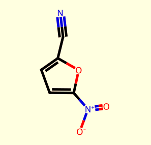 N#Cc1ccc([N+](=O)[O-])o1